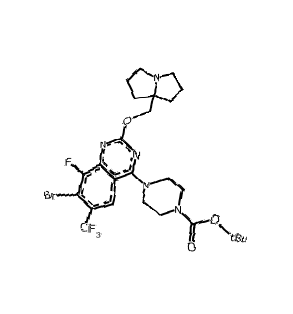 CC(C)(C)OC(=O)N1CCN(c2nc(OCC34CCCN3CCC4)nc3c(F)c(Br)c(C(F)(F)F)cc23)CC1